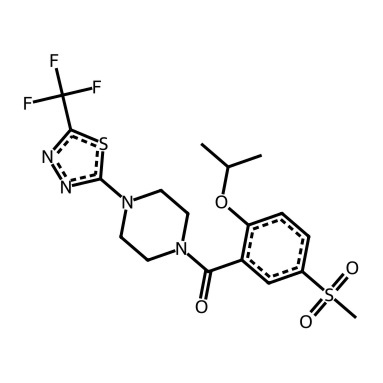 CC(C)Oc1ccc(S(C)(=O)=O)cc1C(=O)N1CCN(c2nnc(C(F)(F)F)s2)CC1